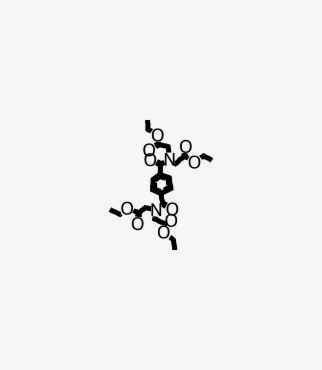 CCOC(=O)CN(CC(=O)OCC)C(=O)c1ccc(C(=O)N(CC(=O)OCC)CC(=O)OCC)cc1